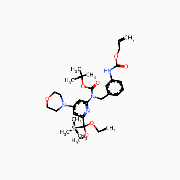 C=CCOC(=O)Nc1cccc(CN(C(=O)OC(C)(C)C)c2cc(N3CCOCC3)cc(C(OC)(OCC)[Si](C)(C)C)n2)c1